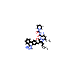 CCCc1c(Cc2ccc(-c3ccccc3-c3nnn[nH]3)cc2)c(=O)n2n1C(C)CCC2C(=O)NC(=O)N1CCCCC1